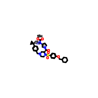 CC(C)(C)OC(=O)N[C@H]1CCN(C(=O)[C@@H]2CN(Cc3ccc(C4(C(F)(F)F)CC4)cc3)CCN2S(=O)(=O)c2ccc(OCC3CCCCC3)cc2)C1